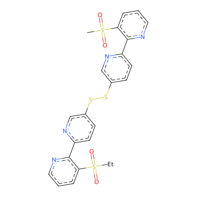 CCS(=O)(=O)c1cccnc1-c1ccc(SSc2ccc(-c3ncccc3S(C)(=O)=O)nc2)cn1